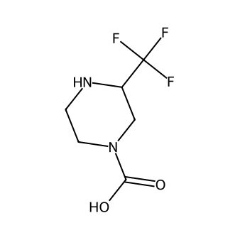 O=C(O)N1CCNC(C(F)(F)F)C1